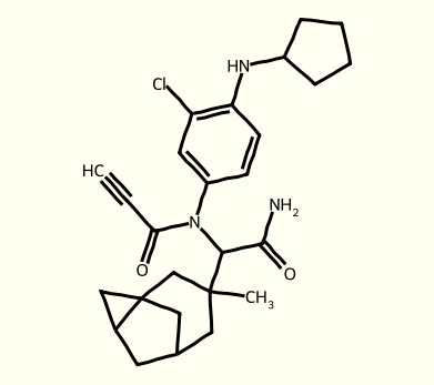 C#CC(=O)N(c1ccc(NC2CCCC2)c(Cl)c1)C(C(N)=O)C1(C)CC2CC3CC3(C2)C1